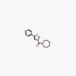 O=C(C1C=C(c2ccncc2)SC1)N1CCCCCC1